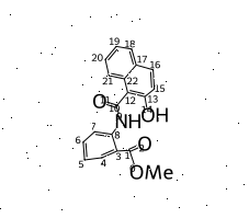 COC(=O)c1ccccc1NC(=O)c1c(O)ccc2ccccc12